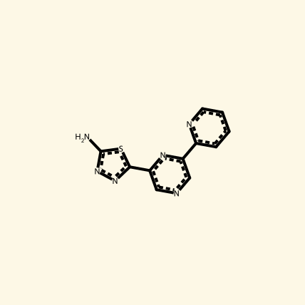 Nc1nnc(-c2cncc(-c3ccccn3)n2)s1